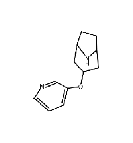 c1cncc(OC2CC3CCC(C2)N3)c1